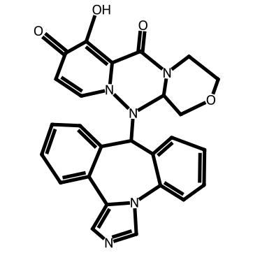 O=C1c2c(O)c(=O)ccn2N(C2c3ccccc3-c3cncn3-c3ccccc32)C2COCCN12